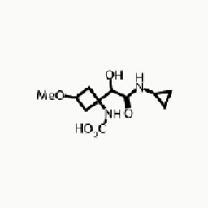 COC1CC(NC(=O)O)(C(O)C(=O)NC2CC2)C1